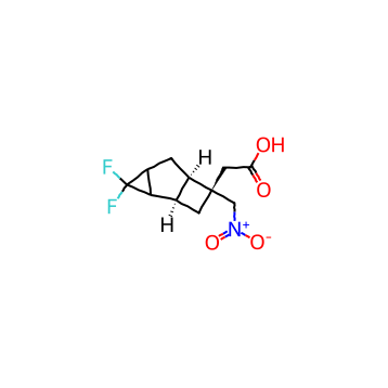 O=C(O)C[C@@]1(C[N+](=O)[O-])C[C@H]2C3C(C[C@H]21)C3(F)F